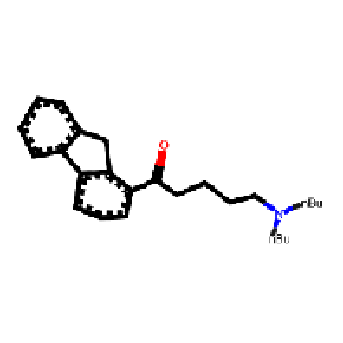 CCCCN(CCCC)CCCCC(=O)c1cccc2c1Cc1ccccc1-2